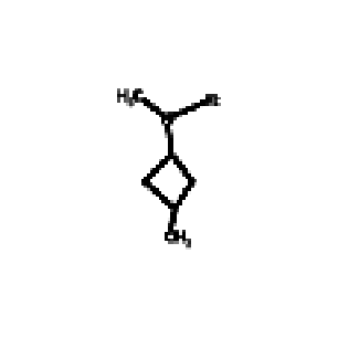 CCN(C)C1CC(C)C1